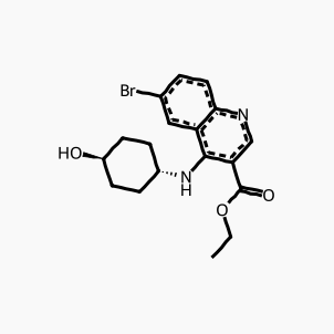 CCOC(=O)c1cnc2ccc(Br)cc2c1N[C@H]1CC[C@H](O)CC1